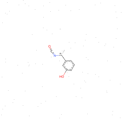 C[C@@H](N=C=O)c1cccc(O)c1